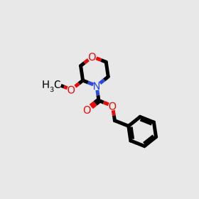 COC1COCCN1C(=O)OCc1ccccc1